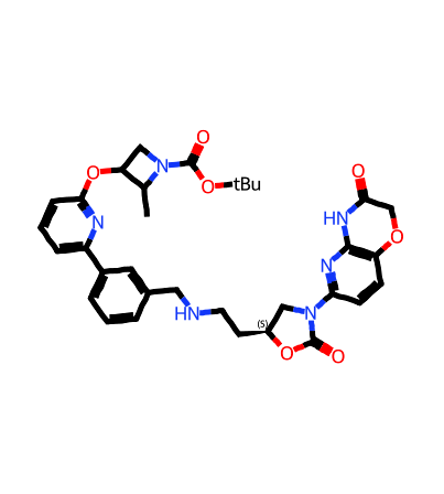 CC1C(Oc2cccc(-c3cccc(CNCC[C@H]4CN(c5ccc6c(n5)NC(=O)CO6)C(=O)O4)c3)n2)CN1C(=O)OC(C)(C)C